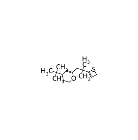 CC(C)(CC1=CC(C(C)(C)C)CCO1)C1=CCS1